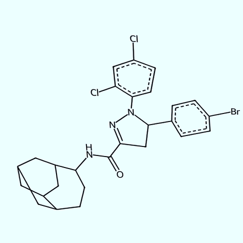 O=C(NC1CCC2CC3CC2CC1C3)C1=NN(c2ccc(Cl)cc2Cl)C(c2ccc(Br)cc2)C1